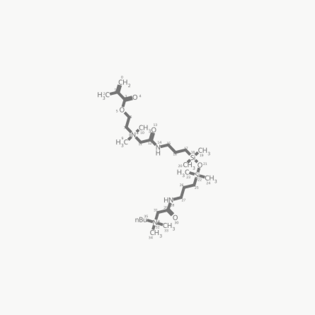 C=C(C)C(=O)OCC[N+](C)(C)CC(=O)NCCC[Si](C)(C)O[Si](C)(C)CCCNC(=O)C[N+](C)(C)CCCC